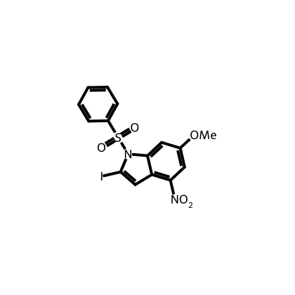 COc1cc([N+](=O)[O-])c2cc(I)n(S(=O)(=O)c3ccccc3)c2c1